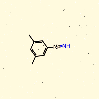 Cc1cc(C)c[c]([Ni]=[NH])c1